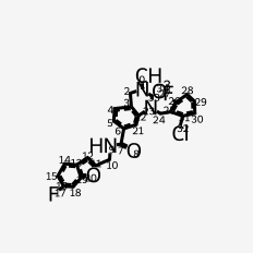 CN1Cc2ccc(C(=O)NCc3cc4ccc(F)cc4o3)cc2N(Cc2c(F)cccc2Cl)C1=O